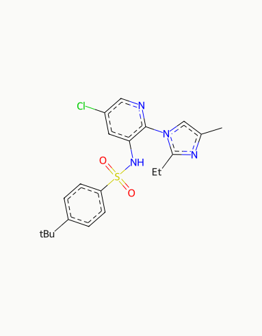 CCc1nc(C)cn1-c1ncc(Cl)cc1NS(=O)(=O)c1ccc(C(C)(C)C)cc1